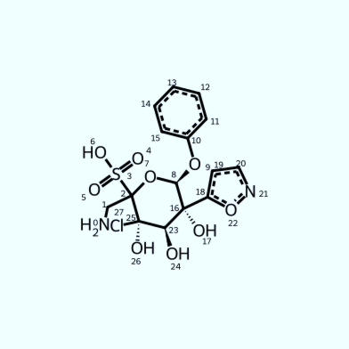 NCC1(S(=O)(=O)O)O[C@@H](Oc2ccccc2)[C@@](O)(c2ccno2)[C@@H](O)[C@@]1(O)Cl